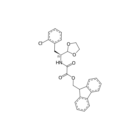 O=C(N[C@@H](Cc1ccccc1Cl)C1OCCO1)C(=O)OCC1c2ccccc2-c2ccccc21